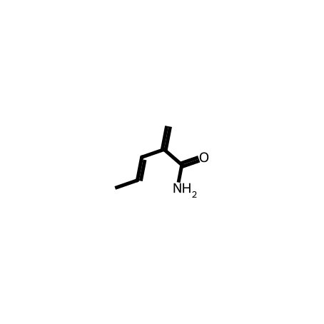 C=C(C=CC)C(N)=O